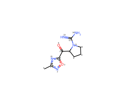 Cc1noc(C(=O)C2CCCN2C(=N)N)n1